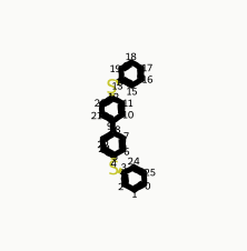 c1ccc(Sc2ccc(-c3ccc(Sc4ccccc4)cc3)cc2)cc1